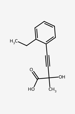 CCc1ccccc1C#CC(C)(O)C(=O)O